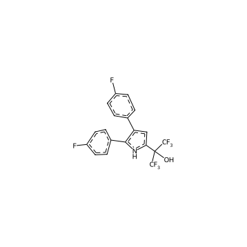 OC(c1cc(-c2ccc(F)cc2)c(-c2ccc(F)cc2)[nH]1)(C(F)(F)F)C(F)(F)F